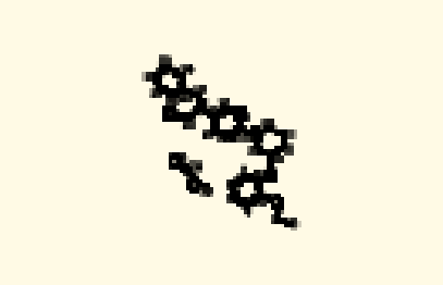 CCOc1ccccc1OC1CCCN(c2ncc(N(C=O)Cc3ccccc3)cn2)C1.COC=O